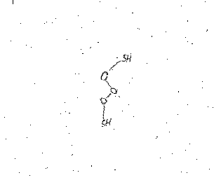 SOOOS